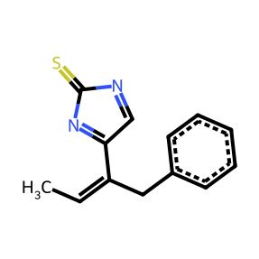 CC=C(Cc1ccccc1)C1=NC(=S)N=C1